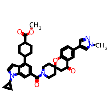 COC(=O)C1CCC(c2cc(C(=O)N3CCC4(CC3)CC(=O)c3cc(-c5cnn(C)c5)ccc3O4)cc3c2ccn3C2CC2)CC1